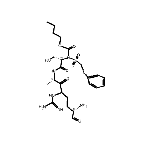 CCCCOC(=O)N([C@@H](CO)C(=O)N[C@@H](C)C(=O)C(CC[C@H](N)C=O)NC(=N)N)S(=O)(=O)CCc1ccccc1